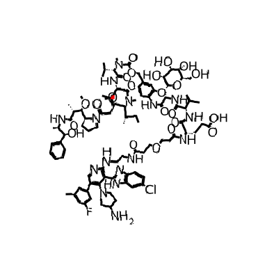 CC[C@H](C)[C@@H]([C@@H](CC(=O)N1CCC[C@H]1[C@H](OC)[C@@H](C)C(=O)N[C@H](C)[C@@H](O)c1ccccc1)OC)N(C)C(=O)[C@@H](NC(=O)[C@H](C(C)C)N(C)C(=O)OCc1ccc(NC(=O)[C@H](C)NC(=O)[C@@H](NC(=O)[C@H](CCC(=O)O)NC(=O)CCOCCC(=O)NCCNc2ncc(-c3cc(C)cc(F)c3)c(N3CCC(N)CC3)c2-c2nc3ccc(Cl)cc3[nH]2)C(C)C)c(O[C@@H]2O[C@H](CO)[C@@H](O)[C@H](O)[C@H]2O)c1)C(C)C